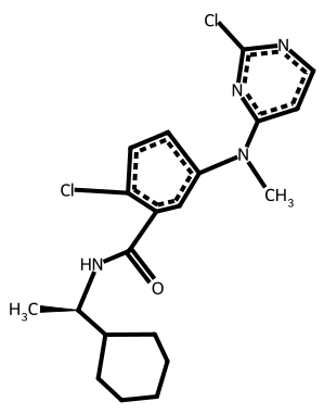 C[C@@H](NC(=O)c1cc(N(C)c2ccnc(Cl)n2)ccc1Cl)C1CCCCC1